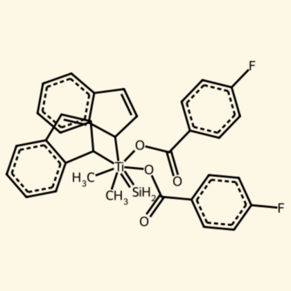 [CH3][Ti]([CH3])(=[SiH2])([O]C(=O)c1ccc(F)cc1)([O]C(=O)c1ccc(F)cc1)([CH]1C=Cc2ccccc21)[CH]1C=Cc2ccccc21